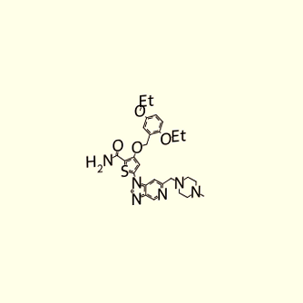 CCOc1ccc(OCC)c(COc2cc(-n3cnc4cnc(CN5CCN(C)CC5)cc43)sc2C(N)=O)c1